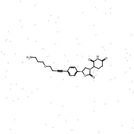 NCCCOCCC#Cc1ccc([C@H]2CN(C3CCC(=O)NC3=O)C(=O)O2)cc1